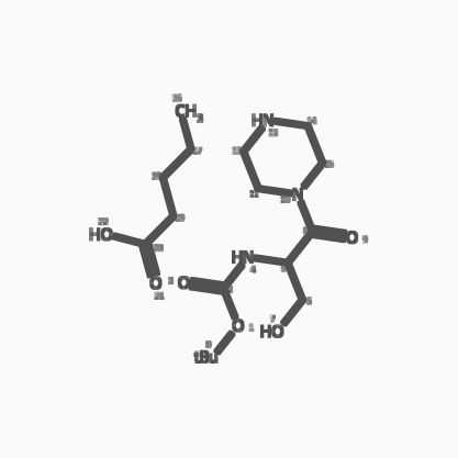 CC(C)(C)OC(=O)NC(CO)C(=O)N1CCNCC1.CCCCC(=O)O